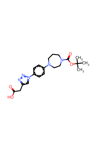 CC(C)(C)OC(=O)N1CCCN(c2ccc(-n3cc(CC(=O)O)nn3)cc2)CC1